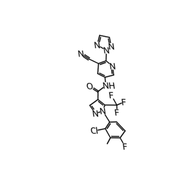 Cc1c(F)ccc(-n2ncc(C(=O)Nc3cnc(-n4nccn4)c(C#N)c3)c2C(F)(F)F)c1Cl